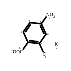 O=C([O-])c1ccc([N+](=O)[O-])cc1Cl.[K+]